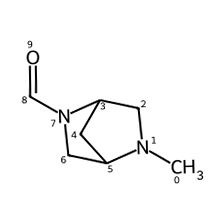 CN1CC2CC1CN2C=O